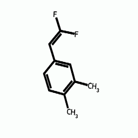 Cc1ccc(C=C(F)F)cc1C